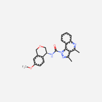 Cc1nc2ccccc2c2c1c(C)nn2C(=O)N[C@@H]1COCc2cc(OC(F)(F)F)ccc21